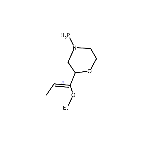 C/C=C(\OCC)C1CN(P)CCO1